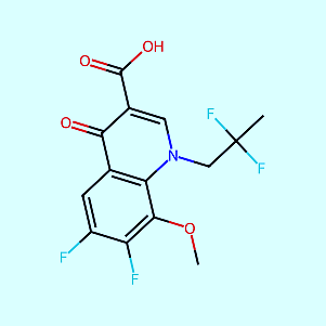 COc1c(F)c(F)cc2c(=O)c(C(=O)O)cn(CC(C)(F)F)c12